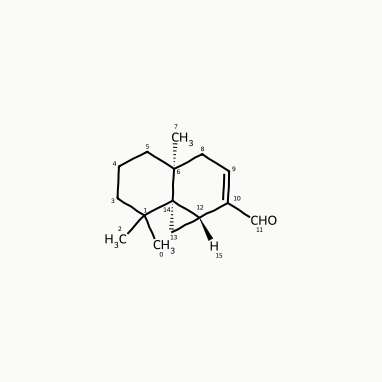 CC1(C)CCC[C@@]2(C)CC=C(C=O)[C@@H]3C[C@]312